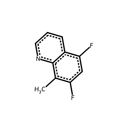 Cc1c(F)cc(F)c2cccnc12